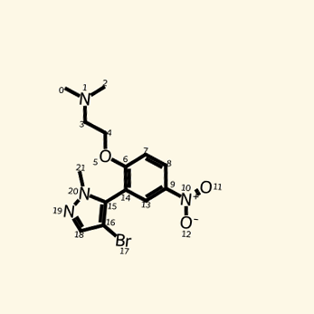 CN(C)CCOc1ccc([N+](=O)[O-])cc1-c1c(Br)cnn1C